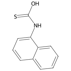 OC(=S)Nc1cccc2ccccc12